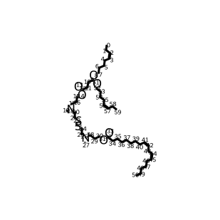 CC/C=C\CCCCOC(CCC(=O)OCCCN(C)CCSSCCN(C)CCCOC(=O)CCCCCCC/C=C\C/C=C\CCCCC)OCCCC/C=C\CC